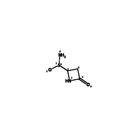 N[S+]([O-])C1CC(=O)N1